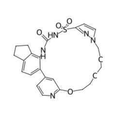 O=C1Nc2c(ccc3c2CCC3)-c2ccnc(c2)OCCCCCCn2ccc(n2)S(=O)(=O)N1